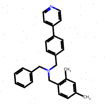 Cc1ccc(CN(Cc2ccccc2)Cc2ccc(-c3ccncc3)cc2)c(C)c1